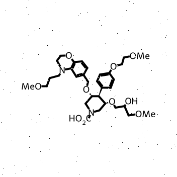 COCCCN1CCOc2ccc(CO[C@H]3CN(C(=O)O)C[C@@H](OCC(O)COC)[C@@H]3c3ccc(OCCOC)cc3)cc21